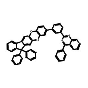 c1ccc(-c2nc(-c3cccc(-c4ccc5c(c4)Oc4cc6c(cc4O5)-c4ccccc4C6(c4ccccc4)c4ccccc4)c3)nc3ccccc23)cc1